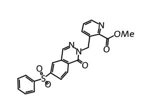 COC(=O)c1ncccc1Cn1ncc2cc(S(=O)(=O)c3ccccc3)ccc2c1=O